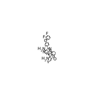 NC(=O)C(=CC1CC1)C(=O)N1CCC[C@@H](n2nc(-c3ccc(Oc4cccc(F)c4F)cc3)c3c(N)ncnc32)C1